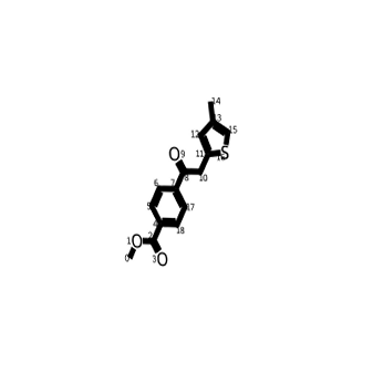 COC(=O)c1ccc(C(=O)Cc2cc(C)cs2)cc1